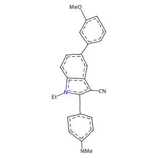 CCn1c(-c2ccc(NC)cc2)c(C#N)c2cc(-c3cccc(OC)c3)ccc21